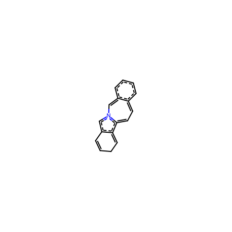 C1=Cc2cn3c(c2=CC1)=CC=c1ccccc1=C3